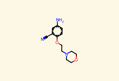 N#Cc1cc(N)ccc1OCCN1CCOCC1